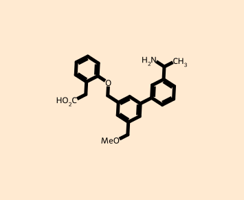 COCc1cc(COc2ccccc2CC(=O)O)cc(-c2cccc(C(C)N)c2)c1